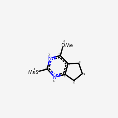 COc1nc(SC)nc2c1CCC2